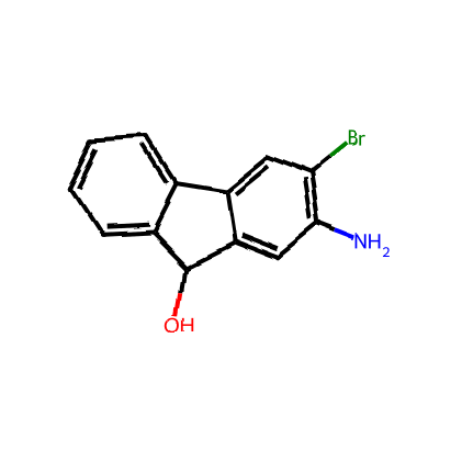 Nc1cc2c(cc1Br)-c1ccccc1C2O